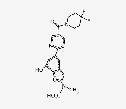 CN(C(=O)O)c1cc2cc(-c3ccc(C(=O)N4CCC(F)(F)CC4)cn3)cc(O)c2o1